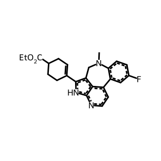 CCOC(=O)C1CC=C(c2[nH]c3nccc4c3c2CN(C)c2ccc(F)cc2-4)CC1